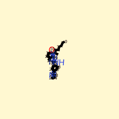 CCCCCCC(C)n1c(=O)ccc2cnc(Nc3ccc(-n4cccn4)cc3)nc21